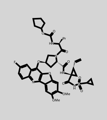 C=C[C@@H]1C[C@]1(NC(=O)[C@@H]1C[C@@H](Oc2c3cc(F)ccc3nc3c2oc2cc(OC)c(OC)cc23)CN1C(=O)[C@@H](NC(=O)OC1CCCC1)C(C)C)C(=O)NS(=O)(=O)C1CC1